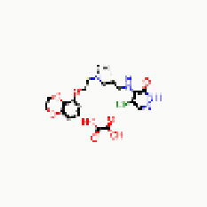 CN(CCCNc1c(Cl)cn[nH]c1=O)CCOc1cccc2c1OCCO2.O=C(O)C(=O)O